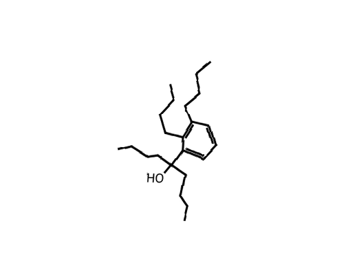 CCCCc1cccc(C(O)(CCCC)CCCC)c1CCCC